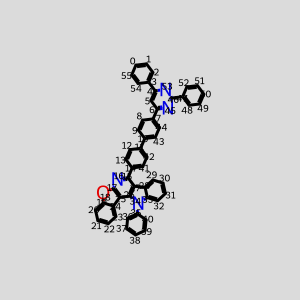 c1ccc(-c2cc(-c3ccc(-c4ccc(-c5nc6oc7ccccc7c6c6c5c5ccccc5n6-c5ccccc5)cc4)cc3)nc(-c3ccccc3)n2)cc1